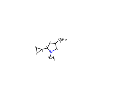 COC1CC(C2CC2)N(C)C1